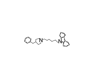 c1ccc(CC2CCN(CCCCCCn3c4ccccc4c4ccccc43)CC2)cc1